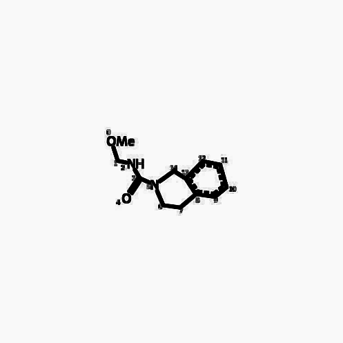 COCNC(=O)N1CCc2ccccc2C1